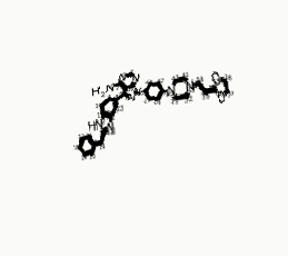 Nc1ncnc2c1c(-c1ccc3[nH]c(Cc4ccccc4)nc3c1)nn2[C@H]1CC[C@H](N2CCN(CCC3OCCO3)CC2)CC1